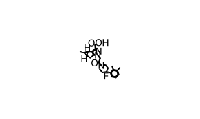 Cc1cccc(C2(F)CCN(C(=O)Cn3nc(C(=O)O)c4c3C[C@H]3[C@@H](C)[C@@H]43)CC2)c1C